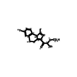 Cc1nc(C(=O)C(OC(=O)O)C(C)C)c2n1-c1ccc(F)cc1SC2